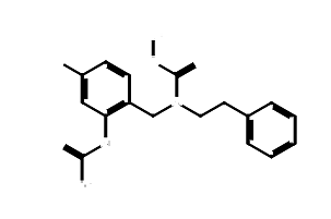 CCCC(=O)Nc1cc(C(=O)O)ccc1CN(CCc1ccccc1)C(=O)OC(C)(C)C